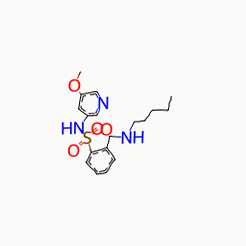 CCCCCNC(=O)c1ccccc1S(=O)(=O)Nc1cncc(OC)c1